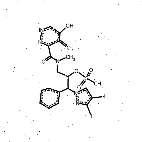 CN(CC(OS(C)(=O)=O)C(c1ccccc1)n1cc(I)c(I)n1)C(=O)c1n[nH]cc(O)c1=O